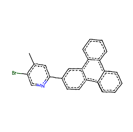 Cc1cc(-c2ccc3c4ccccc4c4ccccc4c3c2)ncc1Br